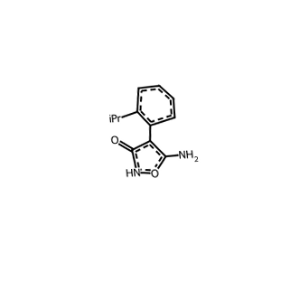 CC(C)c1ccccc1-c1c(N)o[nH]c1=O